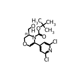 CC(C)(C)OC(=O)N1C(c2cc(Cl)nc(Cl)c2)=COC[C@H]1CO